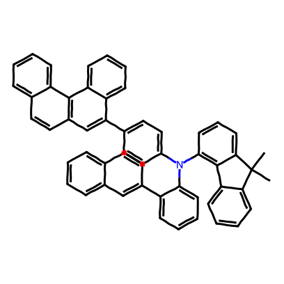 CC1(C)c2ccccc2-c2c(N(c3ccc(-c4cc5ccc6ccccc6c5c5ccccc45)cc3)c3ccccc3-c3ccc4ccccc4c3)cccc21